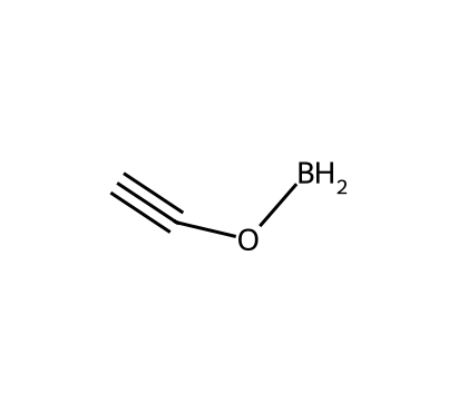 BOC#C